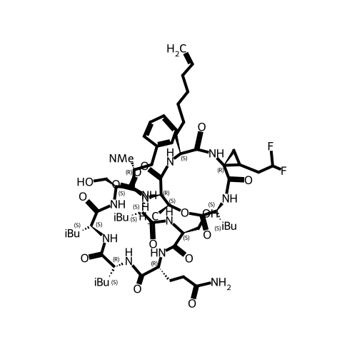 C=CCCCCC[C@@H]1NC(=O)[C@H](NC(=O)[C@H](CO)NC(=O)[C@@H](NC(=O)[C@H](NC(=O)[C@@H](CCC(N)=O)NC(=O)[C@H](CO)NC(=O)[C@@H](NC(=O)[C@@H](Cc2ccccc2)NC)[C@@H](C)CC)[C@@H](C)CC)[C@@H](C)CC)[C@H](C)OC(=O)[C@H]([C@@H](C)CC)NC(=O)[C@]2(CC2CC(F)F)NC1=O